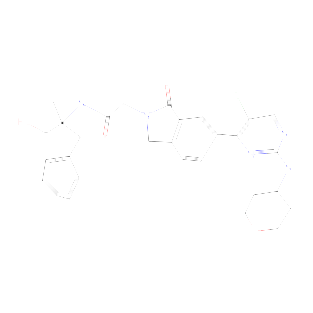 CC(CO)(Cc1ccccc1)NC(=O)CN1Cc2ccc(-c3nc(NC4CCOCC4)ncc3Cl)cc2C1=O